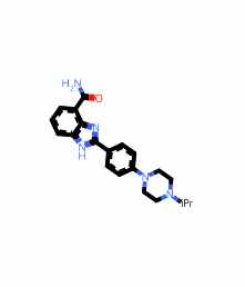 CC(C)N1CCN(c2ccc(-c3nc4c(C(N)=O)cccc4[nH]3)cc2)CC1